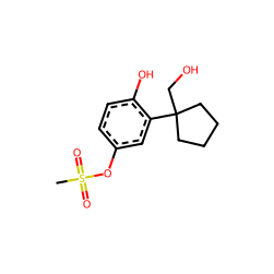 CS(=O)(=O)Oc1ccc(O)c(C2(CO)CCCC2)c1